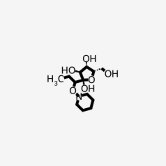 CCC(ON1CCCCC1)[C@@]1(O)O[C@@H](CO)[C@@H](O)[C@@H]1O